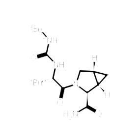 CC(C)(C)NC(=O)N[C@H](C(=O)N1C[C@@H]2C[C@@H]2[C@H]1C(N)=O)C(C)(C)C